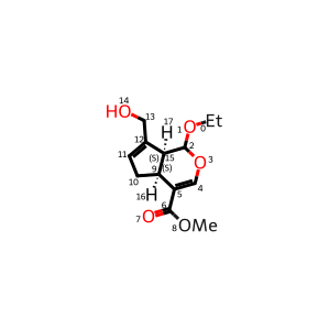 CCOC1OC=C(C(=O)OC)[C@H]2CC=C(CO)[C@@H]12